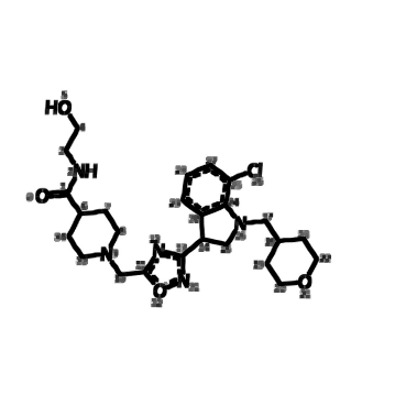 O=C(NCCO)C1CCN(Cc2nc(C3CN(CC4CCOCC4)c4c(Cl)cccc43)no2)CC1